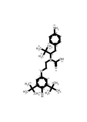 CC(C)(C)c1cc(OCCN(C(=O)O)C(Cc2ccc(N)cc2)C(C)(C)C)cc(C(C)(C)C)c1O